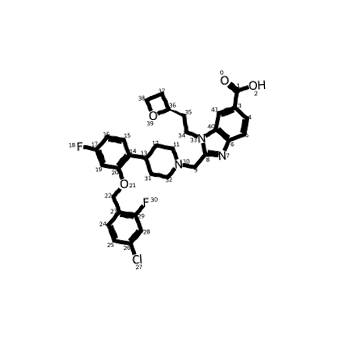 O=C(O)c1ccc2nc(CN3CCC(c4ccc(F)cc4OCc4ccc(Cl)cc4F)CC3)n(CC[C@@H]3CCO3)c2c1